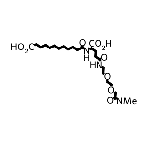 CNC(=O)COCCOCCNC(=O)CC[C@H](NC(=O)CCCCCCCCCCC(=O)O)C(=O)O